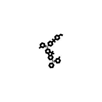 C=Cc1ccc(C(C)(C)c2ccc(N(c3cccc(C)c3)c3ccc4c(c3)C(C)(C)c3cc(N(c5ccccc5)c5cccc(C)c5)ccc3-4)cc2)cc1